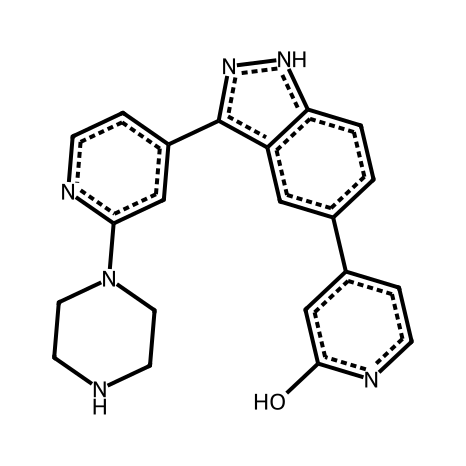 Oc1cc(-c2ccc3[nH]nc(-c4ccnc(N5CCNCC5)c4)c3c2)ccn1